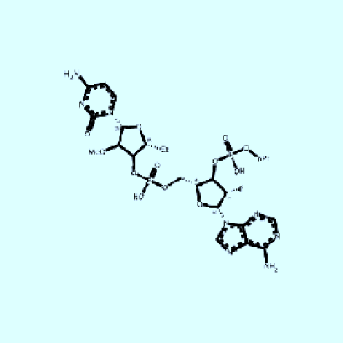 CCCOP(=O)(O)OC1[C@@H](COP(=O)(O)OC2C(OC)[C@H](n3ccc(N)nc3=O)O[C@@H]2CC)O[C@@H](n2cnc3c(N)ncnc32)[C@H]1F